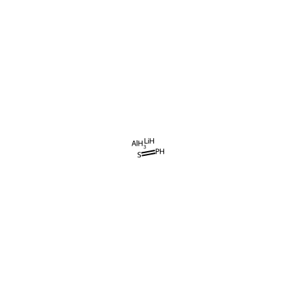 P=S.[AlH3].[LiH]